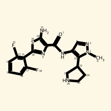 Cn1ncc(NC(=O)c2nc(-c3c(F)cccc3F)sc2N)c1C1CCNC1